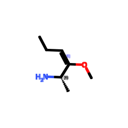 CC/C=C(/OC)[C@H](C)N